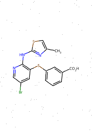 Cc1csc(Nc2ncc(Br)cc2Sc2cccc(C(=O)O)c2)n1